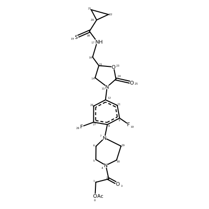 CC(=O)OCC(=O)N1CCN(c2c(F)cc(N3CC(CNC(=S)C4CC4)OC3=O)cc2F)CC1